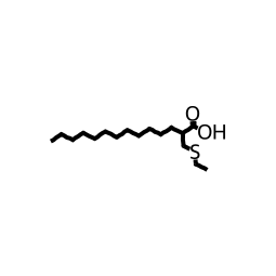 CCCCCCCCCCCCC(CSCC)C(=O)O